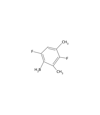 Bc1c(F)cc(C)c(F)c1C